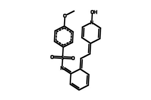 COc1ccc(S(=O)(=O)N=C2C=CC=CC2=CC=C2C=CN(O)C=C2)cc1